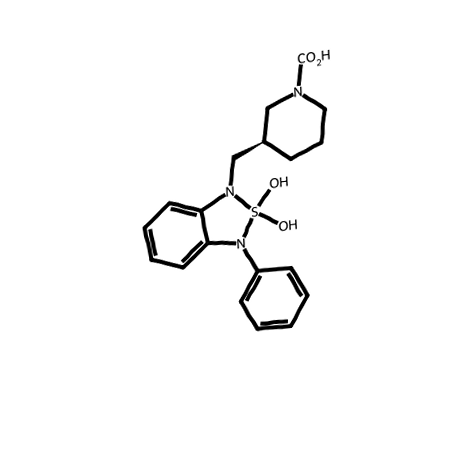 O=C(O)N1CCC[C@@H](CN2c3ccccc3N(c3ccccc3)S2(O)O)C1